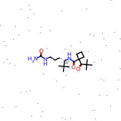 CC(C)(C)C(=O)C1(C(=O)N[C@@H](CCCNC(N)=O)C(C)(C)C)CCC1